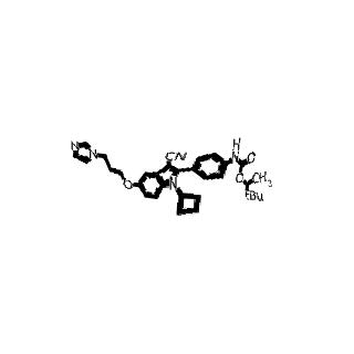 CC(OC(=O)Nc1ccc(-c2c(C#N)c3cc(OCCCn4ccnc4)ccc3n2C2CCC2)cc1)C(C)(C)C